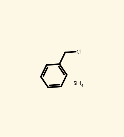 ClCc1ccccc1.[SiH4]